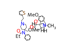 CCC(=O)N(c1ccccc1)C1(COC)CCN(CCc2cccs2)CC1.COc1ccc2c3c1O[C@H]1C(=O)CC[C@H]4[C@@H](C2)N(C)CC[C@]314